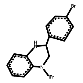 CC(C)N1CC(c2ccc(Br)cc2)Nc2ccccc21